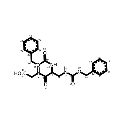 O=C(O)CNC(=O)C(CNC(=O)OCc1ccccc1)NC(=O)OCc1ccccc1